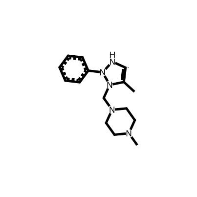 CC1=[C]NN(c2ccccc2)N1CN1CCN(C)CC1